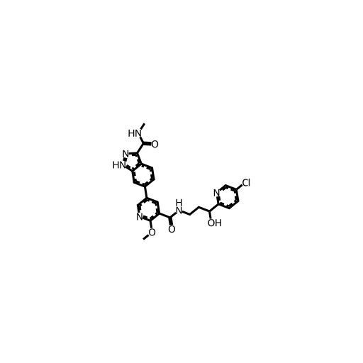 CNC(=O)c1n[nH]c2cc(-c3cnc(OC)c(C(=O)NCCC(O)c4ccc(Cl)cn4)c3)ccc12